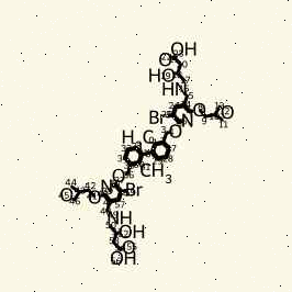 Cc1c(COc2nc(OCC3COC3)c(CNCC(O)CC(=O)O)cc2Br)cccc1-c1cccc(COc2nc(OCC3COC3)c(CNCC(O)CC(=O)O)cc2Br)c1C